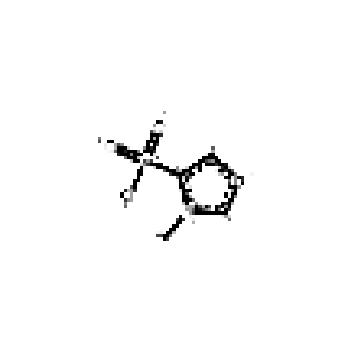 Cn1cncc1S(=O)(=O)Cl